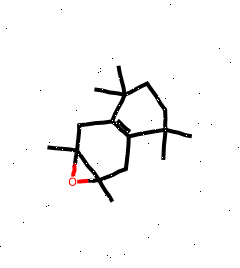 CC1(C)CCC(C)(C)C2=C1CC1(C)OC1(C)C2